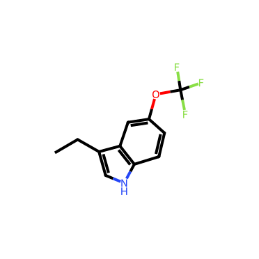 CCc1c[nH]c2ccc(OC(F)(F)F)cc12